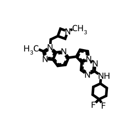 Cc1nc2ccc(-c3ccn4nc(NC5CCC(F)(F)CC5)ncc34)nc2n1CC1CN(C)C1